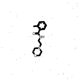 Cc1c[c]ccc1C(=O)NCCN1CCOCC1